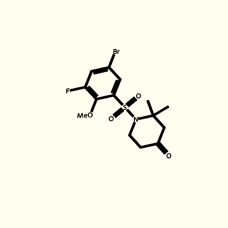 COc1c(F)cc(Br)cc1S(=O)(=O)N1CCC(=O)CC1(C)C